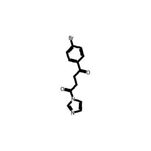 O=C(CCC(=O)n1ccnc1)c1ccc(Br)cc1